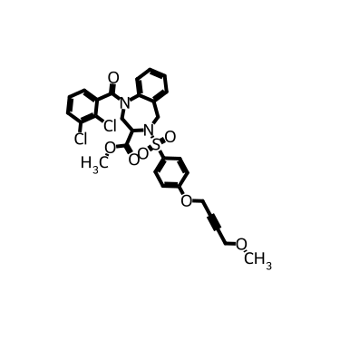 COCC#CCOc1ccc(S(=O)(=O)N2Cc3ccccc3N(C(=O)c3cccc(Cl)c3Cl)CC2C(=O)OC)cc1